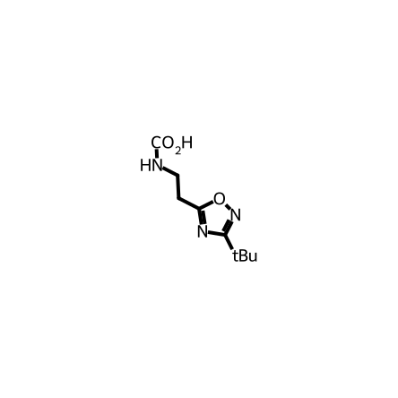 CC(C)(C)c1noc(CCNC(=O)O)n1